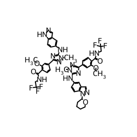 COc1cc(-c2nc(Nc3ccc4[nH]ncc4c3)n(C)n2)ccc1C(=O)NCC(F)(F)F.COc1cc(-c2nc(Nc3ccc4c(cnn4C4CCCCO4)c3)n(C)n2)ccc1C(=O)NCC(F)(F)F